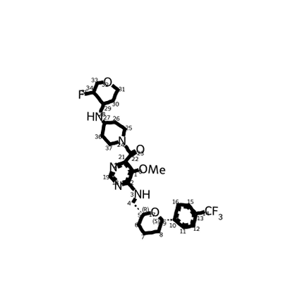 COc1c(NC[C@H]2CCC[C@@H](c3ccc(C(F)(F)F)cc3)O2)ncnc1C(=O)N1CCC(NC2CCOCC2F)CC1